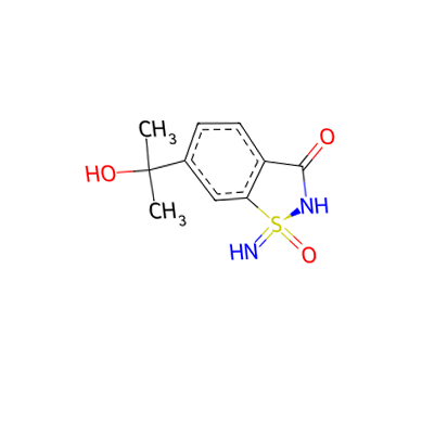 CC(C)(O)c1ccc2c(c1)[S@@](=N)(=O)NC2=O